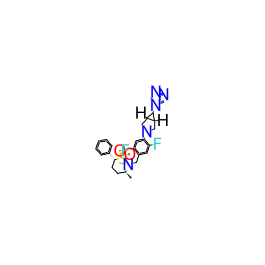 C[C@H]1CC[C@H](c2ccccc2)S(=O)(=O)N1Cc1cc(F)c(N2C[C@@H]3C(n4cnnc4)[C@@H]3C2)cc1F